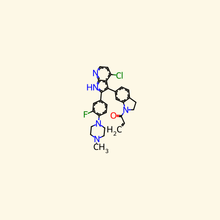 C=CC(=O)N1CCc2ccc(-c3c(-c4ccc(N5CCN(C)CC5)c(F)c4)[nH]c4nccc(Cl)c34)cc21